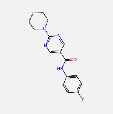 O=C(Nc1ccc(F)cc1)c1cnc(N2CCCCC2)nc1